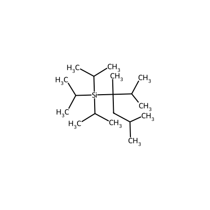 CC(C)CC(C)(C(C)C)[Si](C(C)C)(C(C)C)C(C)C